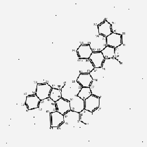 C/C=C(\c1cccc2c1Cc1ccc(-c3cc4c(c5ccccc35)c3c5ccccc5ccc3n4C)cc1-2)c1cc2c(c3ccccc13)c1c3ccccc3ccc1n2C